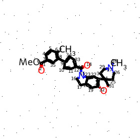 COC(=O)c1ccc(C)c(-c2ccc(C(=O)N3CCc4cc5c(cc43)C3(CCN(C)CC3)CO5)cc2)c1